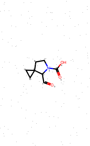 O=CC1N(C(=O)O)CCC12CC2